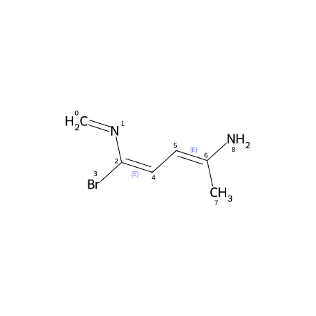 C=N/C(Br)=C\C=C(/C)N